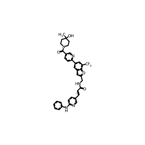 CC1(O)CCN(C(=O)c2ccc(-c3cc(C(F)(F)F)c4oc(CNC(=O)/C=C/c5ccc(Nc6ccccc6)nc5)cc4c3)nc2)CC1